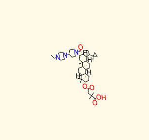 CCN1CCN(C2CCN(C(=O)[C@]34CC[C@@H](C5(C)CC5)[C@@H]3[C@H]3CC[C@@H]5[C@@]6(C)CC[C@H](OC(=O)CC(C)(C)C(=O)O)C(C)(C)[C@@H]6CC[C@@]5(C)[C@]3(C)CC4)CC2)CC1